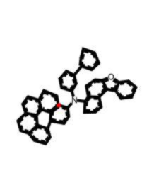 c1ccc(-c2cccc(N(c3ccc(-c4cccc5ccc6ccc7ccccc7c6c45)cc3)c3cccc4c3ccc3oc5ccccc5c34)c2)cc1